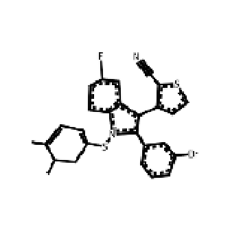 CC1=CC=C(Sn2c(-c3cccc(Br)c3)c(-c3ccsc3C#N)c3cc(F)ccc32)CC1C